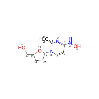 C=C1N=C(NO)C=CN1C1CCC(CO)O1